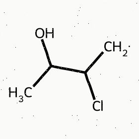 [CH2]C(Cl)C(C)O